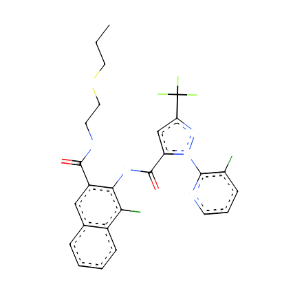 CCCSCCNC(=O)c1cc2ccccc2c(Cl)c1NC(=O)c1cc(C(F)(F)F)nn1-c1ncccc1Cl